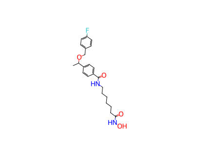 CC(OCc1ccc(F)cc1)c1ccc(C(=O)NCCCCCCC(=O)NO)cc1